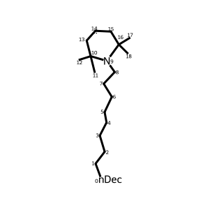 CCCCCCCCCCCCCCCCCCN1C(C)(C)C[C]CC1(C)C